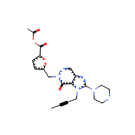 CC#CCn1c(N2CCNCC2)nc2cnn(Cc3ccc(C(=O)OC(=O)C(F)(F)F)o3)c(=O)c21